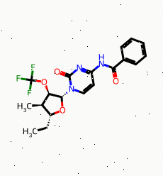 CC[C@H]1O[C@@H](n2ccc(NC(=O)c3ccccc3)nc2=O)[C@H](OC(F)(F)F)[C@@H]1C